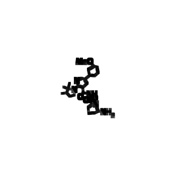 COc1cccc(-c2cnc(N3CCC(C)C3(C)C)c(C(=O)NS(=O)(=O)c3cccc(N)n3)c2)c1